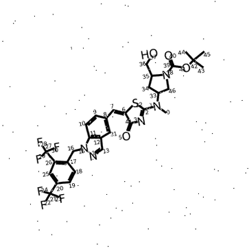 CN(C1=NC(=O)C(=Cc2ccc3c(cnn3Cc3ccc(C(F)(F)F)cc3C(F)(F)F)c2)S1)C1CC(CO)N(C(=O)OC(C)(C)C)C1